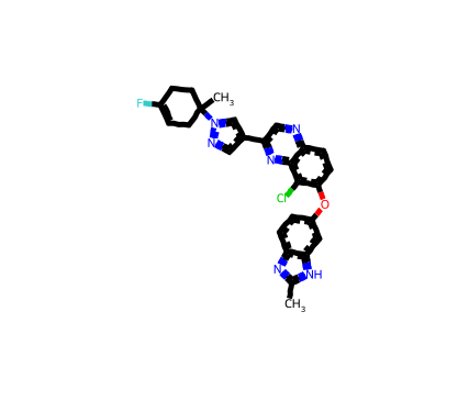 Cc1nc2ccc(Oc3ccc4ncc(-c5cnn(C6(C)CC=C(F)CC6)c5)nc4c3Cl)cc2[nH]1